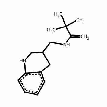 C=C(NCC1CNc2ccccc2C1)C(C)(C)C